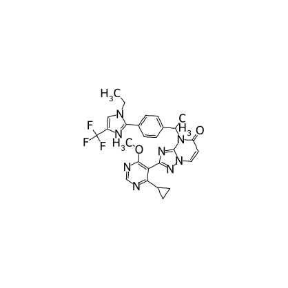 CCn1cc(C(F)(F)F)nc1-c1ccc(C(C)n2c(=O)ccn3nc(-c4c(OC)ncnc4C4CC4)nc23)cc1